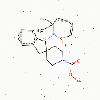 CC(C)(C)OC(=O)N1CCC2(CC1)Cc1ccccc1[C@@H]2N1[S+]([O-])C=CC=CC1(C)C